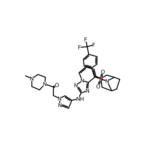 CN1CCN(C(=O)Cn2cc(Nc3nc4c(N5CC6CCC(C5)N6S(=O)(=O)Cc5ccc(C(F)(F)F)cc5)cccn4n3)cn2)CC1